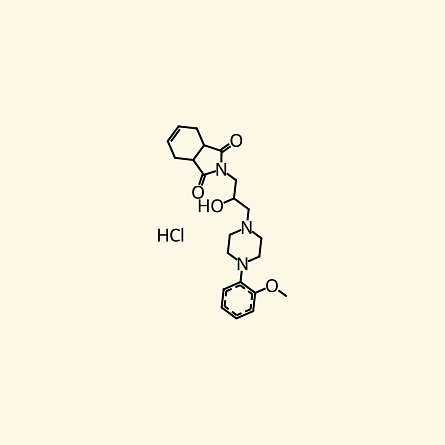 COc1ccccc1N1CCN(CC(O)CN2C(=O)C3CC=CCC3C2=O)CC1.Cl